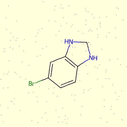 Brc1ccc2c(c1)N[CH]N2